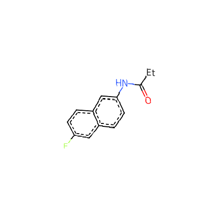 CCC(=O)Nc1ccc2cc(F)ccc2c1